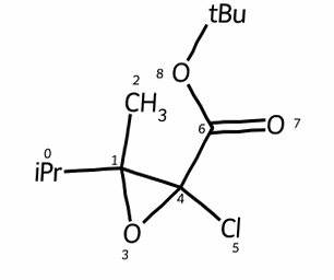 CC(C)C1(C)OC1(Cl)C(=O)OC(C)(C)C